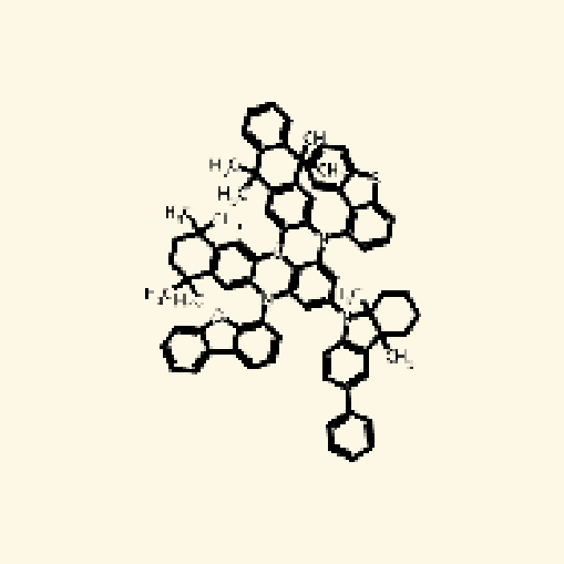 CC1(C)CCC(C)(C)c2cc3c(cc21)B1c2cc4c(cc2N(c2cccc5sc6ccccc6c25)c2cc(N5c6ccc(-c7ccccc7)cc6C6(C)CCCCC56C)cc(c21)N3c1cccc2c1oc1ccccc12)C(C)(C)c1ccccc1C4(C)C